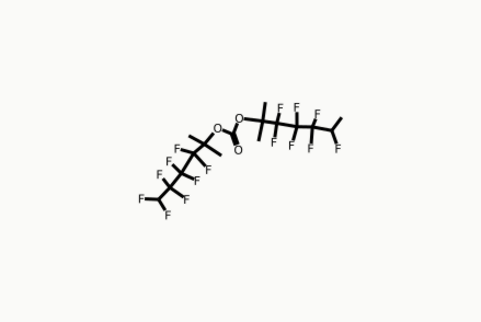 CC(F)C(F)(F)C(F)(F)C(F)(F)C(C)(C)OC(=O)OC(C)(C)C(F)(F)C(F)(F)C(F)(F)C(F)F